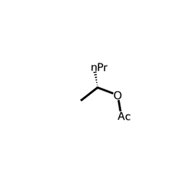 CCC[C@@H](C)OC(C)=O